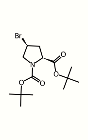 CC(C)(C)OC(=O)[C@@H]1C[C@H](Br)CN1C(=O)OC(C)(C)C